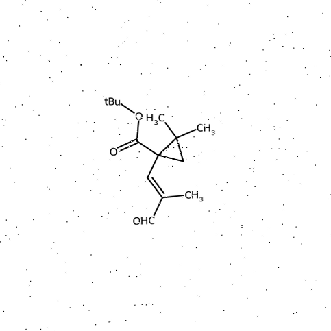 CC(C=O)=CC1(C(=O)OC(C)(C)C)CC1(C)C